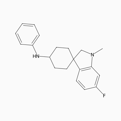 CN1CC2(CCC(Nc3ccccc3)CC2)c2ccc(F)cc21